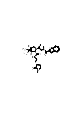 CC1(C)[C@@H]2[C@@H](C(=O)NCC[C@@H]3CCNC3=O)N(C(=O)CNC(=O)c3cc4ccccc4[nH]3)C[C@@H]21